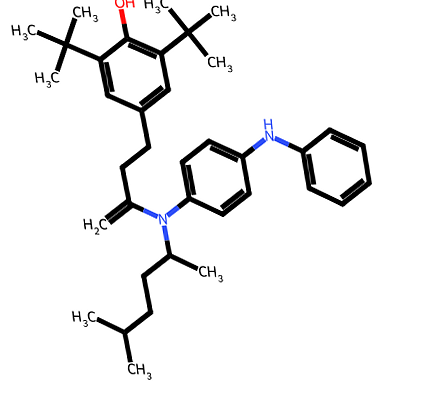 C=C(CCc1cc(C(C)(C)C)c(O)c(C(C)(C)C)c1)N(c1ccc(Nc2ccccc2)cc1)C(C)CCC(C)C